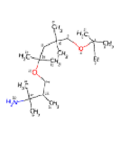 CCC(C)(C)OCC(C)(C)CC(C)(C)OCC(C)C(C)(C)N